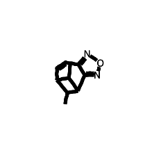 CC1C2C=Cc3nonc3C1C2C